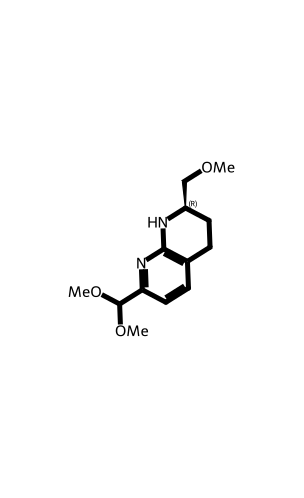 COC[C@H]1CCc2ccc(C(OC)OC)nc2N1